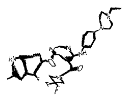 CCN1CCN(c2ccc(Nc3ncnc(Oc4ccc5[nH]c(C)cc5c4F)c3C(=O)N3CC(F)(F)C3)cc2)CC1